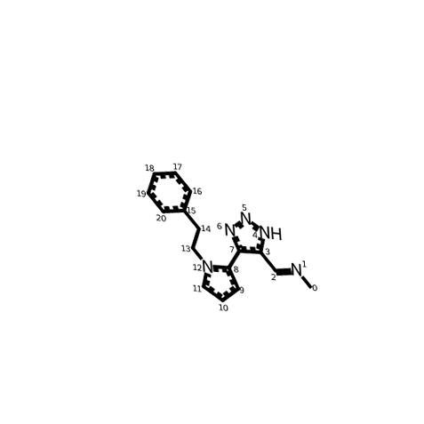 C/N=C/c1[nH]nnc1-c1cccn1CCc1ccccc1